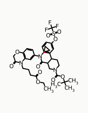 CCOC(=O)CCCN1C(=O)COc2ccc(N(C(=O)C3CN(C(=O)OC(C)(C)C)CCC3c3cccc(OS(=O)(=O)C(F)(F)F)c3)C3CC3)cc21